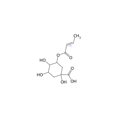 C/C=C/C(=O)OC1CC(O)(C(=O)O)CC(O)C1O